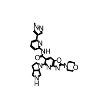 Cn1cc(-c2cccc(NC(=O)c3cc4oc(N5CCOCC5)nc4nc3N3CCC4CNCC43)n2)cn1